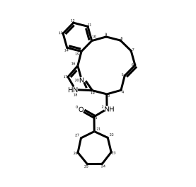 O=C(NC1C/C=C/CCCc2ccccc2-c2c[nH]c1n2)C1CCCCCC1